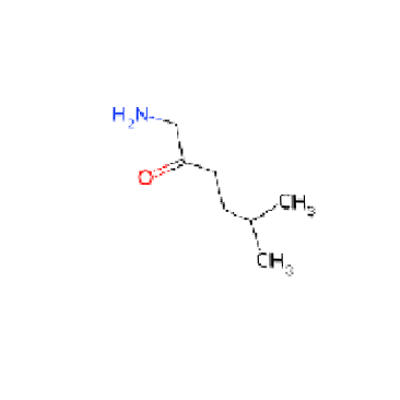 CC(C)CCC(=O)CN